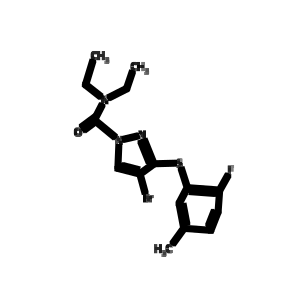 CCN(CC)C(=O)n1cc(Br)c(Sc2cc(C)ccc2F)n1